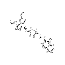 CCCSC(CC)(C(=O)OCC)C(=O)OCc1ccc(OCCN2COc3ccccc3C2=O)cc1